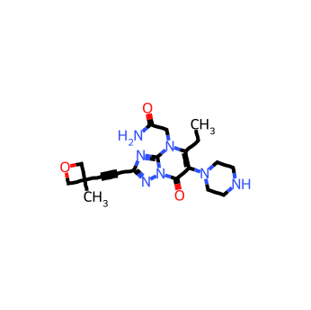 CCc1c(N2CCNCC2)c(=O)n2nc(C#CC3(C)COC3)nc2n1CC(N)=O